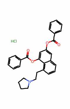 Cl.O=C(Oc1cc(OC(=O)c2ccccc2)c2c(CCN3CCCC3)cccc2c1)c1ccccc1